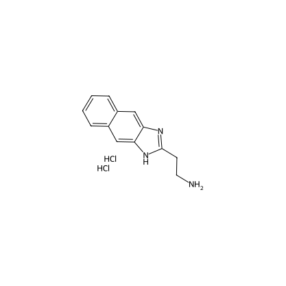 Cl.Cl.NCCc1nc2cc3ccccc3cc2[nH]1